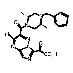 C[C@@H]1CN(Cc2ccccc2)[C@@H](C)CN1C(=O)c1nn2c(C(=O)C(=O)O)ncc2nc1Cl